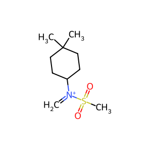 C=[N+](C1CCC(C)(C)CC1)S(C)(=O)=O